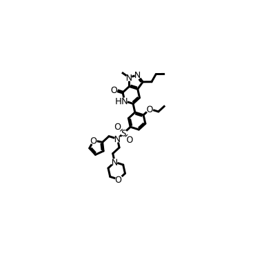 CCCc1nn(C)c2c(=O)[nH]c(-c3cc(S(=O)(=O)N(CCN4CCOCC4)Cc4ccco4)ccc3OCC)cc12